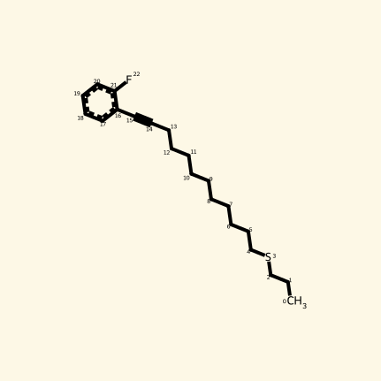 CCCSCCCCCCCCCCC#Cc1ccccc1F